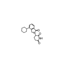 O=C1CCC(N2Cc3c(cccc3C3CCCCC3)C2=O)C(=O)N1